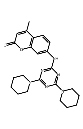 Cc1cc(=O)oc2cc(Nc3nc(N4CCCCC4)nc(N4CCCCC4)n3)ccc12